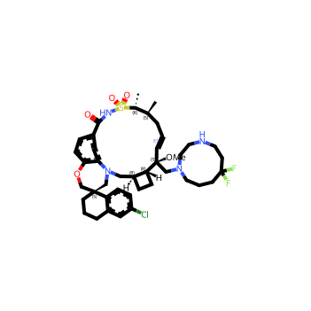 CO[C@]1(CN2CCCC(F)(F)CCNCC2)/C=C/C[C@H](C)[C@@H](C)S(=O)(=O)NC(=O)c2ccc3c(c2)N(C[C@@H]2CC[C@H]21)C[C@@]1(CCCc2cc(Cl)ccc21)CO3